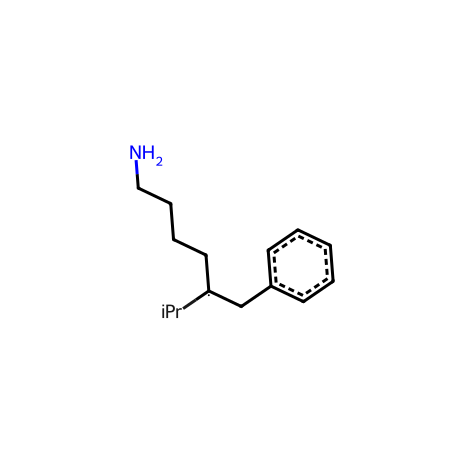 CC(C)[C](CCCCN)Cc1ccccc1